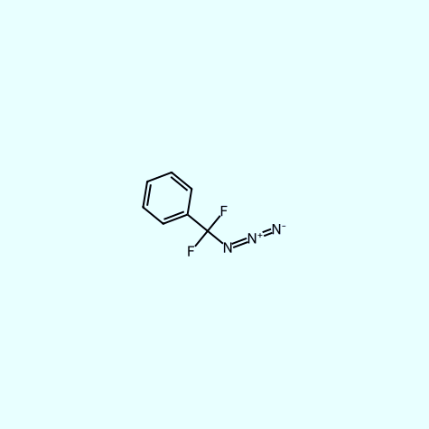 [N-]=[N+]=NC(F)(F)c1ccccc1